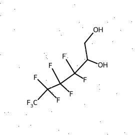 OCC(O)C(F)(F)C(F)(F)C(F)(F)C(F)(F)F